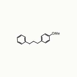 COc1ccc(CC[CH]c2ccccc2)cc1